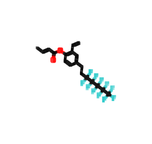 C=Cc1cc(CCC(F)(F)C(F)(F)C(F)(F)C(F)(F)C(F)(F)F)ccc1OC(=O)/C=C/C